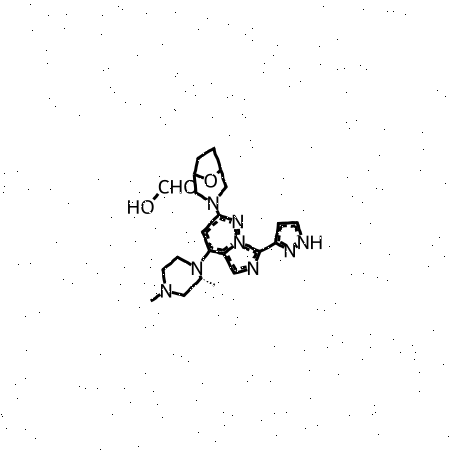 C[C@@H]1CN(C)CCN1c1cc(N2CC3CCC(C2)O3)nn2c(-c3cc[nH]n3)ncc12.O=CO